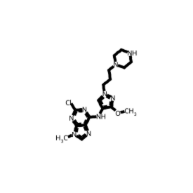 COc1nn(CCCN2CCNCC2)cc1Nc1nc(Cl)nc2c1ncn2C